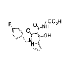 O=C(O)CNC(=O)c1c(O)c2cccn2n(Cc2ccc(F)cc2)c1=O